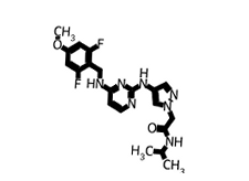 COc1cc(F)c(CNc2ccnc(Nc3cnn(CC(=O)NC(C)C)c3)n2)c(F)c1